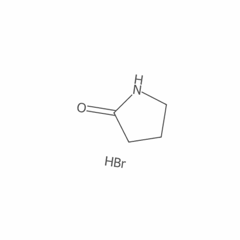 Br.O=C1CCCN1